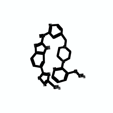 COc1cccnc1N1CCN(Cc2ccnc(Nc3nc4ccc(-c5nc(C)no5)cc4[nH]3)c2)CC1